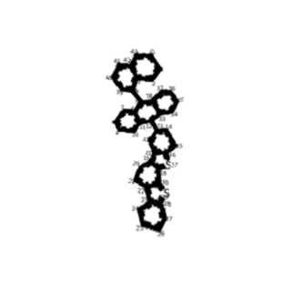 c1ccc2c(-c3c4ccccc4c(-c4ccc5sc6c(ccc7c8ccccc8sc76)c5c4)c4ccccc34)cccc2c1